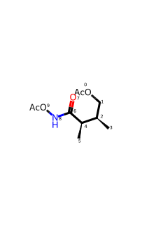 CC(=O)OC[C@@H](C)[C@@H](C)C(=O)NOC(C)=O